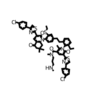 CCSc1cc(CCc2cccc(CC)c2-n2c(C)c(C(=O)N(C)CCCNC)cc(-c3nc(-c4ccc(Cl)cc4)cs3)c2=O)ccc1-n1c2c(cc(-c3nc(-c4ccc(Cl)cc4)cs3)c1=O)C(=O)CC(C)(C)C2